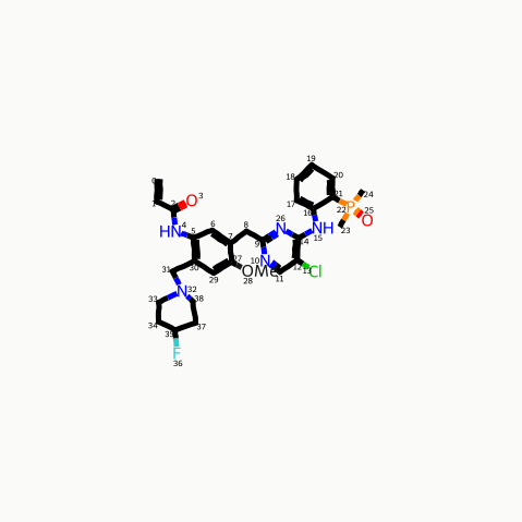 C=CC(=O)Nc1cc(Cc2ncc(Cl)c(Nc3ccccc3P(C)(C)=O)n2)c(OC)cc1CN1CCC(F)CC1